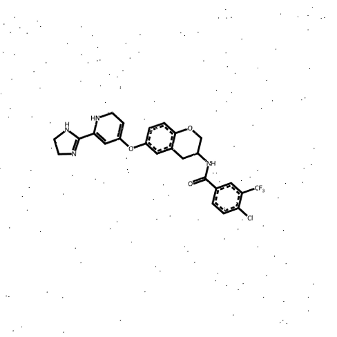 O=C(NC1COc2ccc(OC3=CCNC(C4=NCCN4)=C3)cc2C1)c1ccc(Cl)c(C(F)(F)F)c1